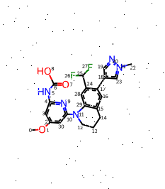 COc1cc(NC(=O)O)nc(N2CCCc3cc(-c4cnn(C)c4)c(C(F)F)cc32)c1